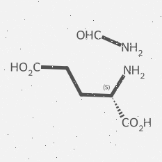 NC=O.N[C@@H](CCC(=O)O)C(=O)O